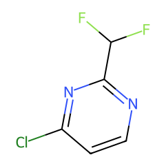 FC(F)c1nccc(Cl)n1